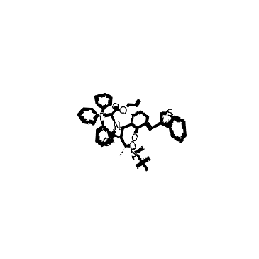 C=CCOC(=O)C(N1C(=O)[C@H]([C@@H](C)O[Si](C)(C)C(C)(C)C)[C@H]1[C@H]1CCCC(=Cc2csc3ccccc23)C1=O)=P(c1ccccc1)(c1ccccc1)c1ccccc1